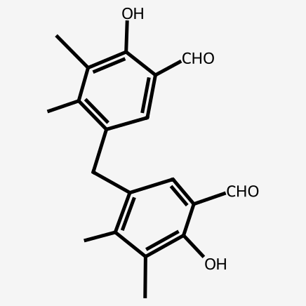 Cc1c(Cc2cc(C=O)c(O)c(C)c2C)cc(C=O)c(O)c1C